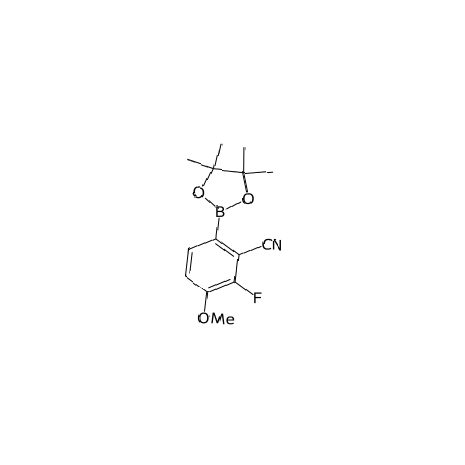 COc1ccc(B2OC(C)(C)C(C)(C)O2)c(C#N)c1F